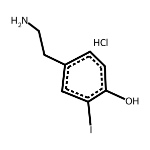 Cl.NCCc1ccc(O)c(I)c1